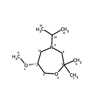 CO[C@H]1COC(C)(C)CN(C(C)C)C1